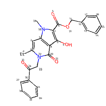 CCc1cc2c(c(O)c(C(=O)OCc3ccccc3)n2C)c(=O)n1CC(=O)c1ccccc1